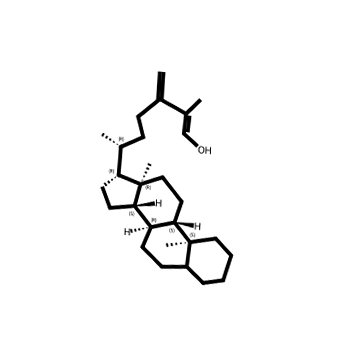 C=C(CC[C@@H](C)[C@H]1CC[C@H]2[C@@H]3CCC4CCCC[C@]4(C)[C@H]3CC[C@]12C)C(C)=CO